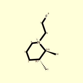 C[C@@H]1CCCN(CCF)[C@H]1C